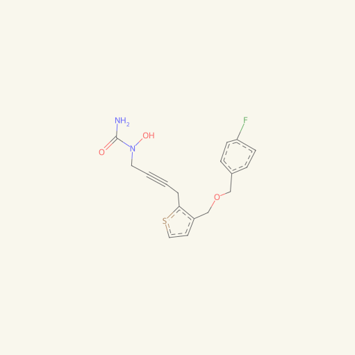 NC(=O)N(O)CC#CCc1sccc1COCc1ccc(F)cc1